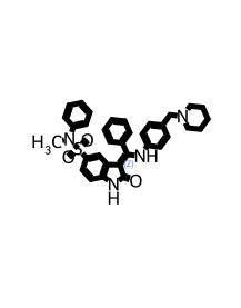 CN(c1ccccc1)S(=O)(=O)c1ccc2c(c1)/C(=C(/Nc1ccc(CN3CCCCC3)cc1)c1ccccc1)C(=O)N2